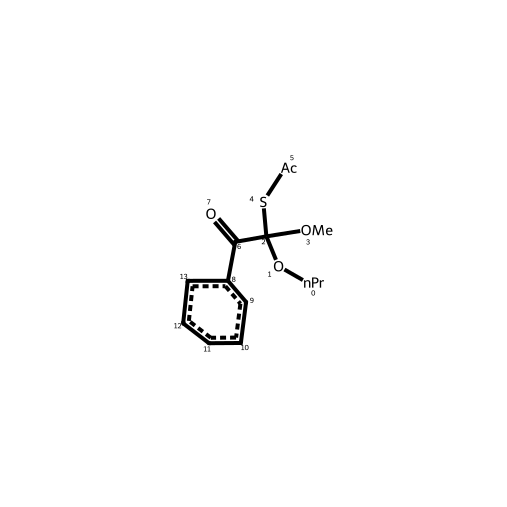 CCCOC(OC)(SC(C)=O)C(=O)c1ccccc1